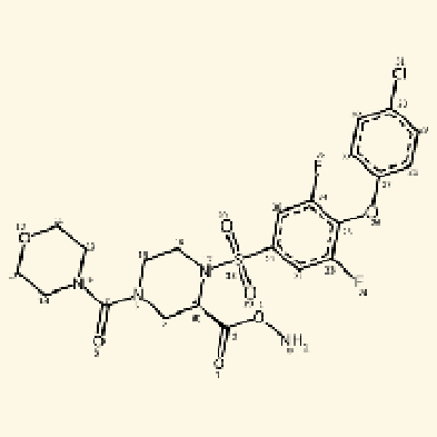 NOC(=O)[C@H]1CN(C(=O)N2CCOCC2)CCN1S(=O)(=O)c1cc(F)c(Oc2ccc(Cl)cc2)c(F)c1